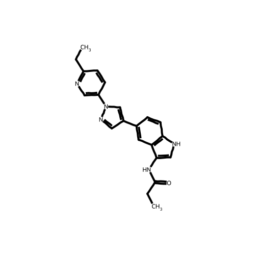 CCC(=O)Nc1c[nH]c2ccc(-c3cnn(-c4ccc(CC)nc4)c3)cc12